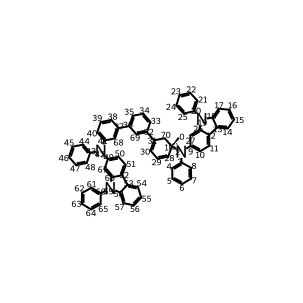 C[C@@]1(N(c2ccccc2)c2ccc3c4ccccc4n(-c4ccccc4)c3c2)C=CC=C(c2cccc(-c3cccc(N(c4ccccc4)c4ccc5c6ccccc6n(-c6ccccc6)c5c4)c3)c2)C1